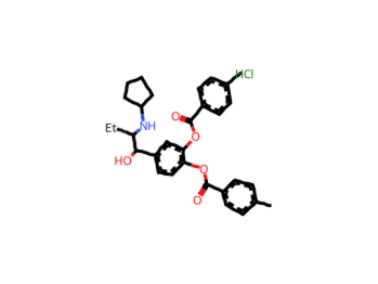 CCC(NC1CCCC1)C(O)c1ccc(OC(=O)c2ccc(C)cc2)c(OC(=O)c2ccc(C)cc2)c1.Cl